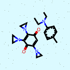 CCN(CC)c1ccc(C)cc1.O=C1C=C(N2CC2)C(=O)C(N2CC2)=C1N1CC1